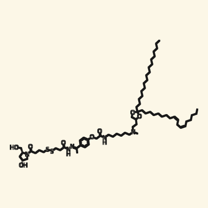 CCCCC/C=C\C/C=C\CCCCCCCCC1(CCCCCCCCCCCCCCCCCC)OCC(CCN(C)CCCCCCNC(=O)COc2ccc(/C(C)=N/NC(=O)CCSSCCCC(=O)N3C[C@H](O)C[C@H]3CO)cc2)O1